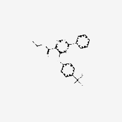 CCOC(=O)c1nnc(-c2ccccc2)nc1Oc1ccc(C(F)(F)F)cc1